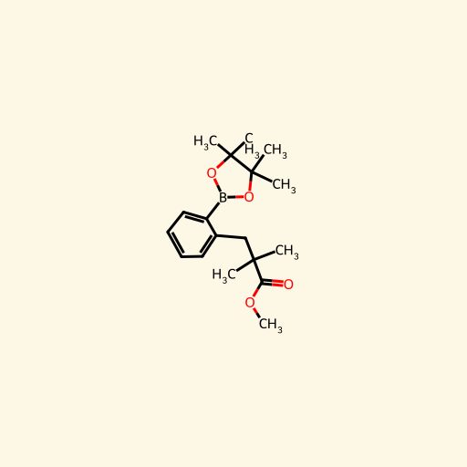 COC(=O)C(C)(C)Cc1ccccc1B1OC(C)(C)C(C)(C)O1